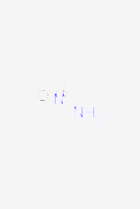 N[C@H]1CC[C@@H](c2nc(-c3ccccc3)cs2)C1